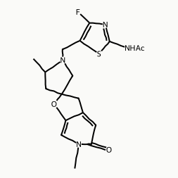 CC(=O)Nc1nc(F)c(CN2CC3(Cc4cc(=O)n(C)cc4O3)CC2C)s1